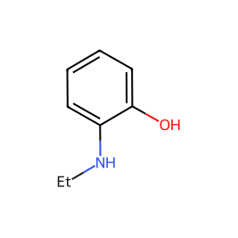 [CH2]CNc1ccccc1O